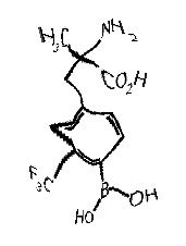 CC(N)(Cc1ccc(B(O)O)c(C(F)(F)F)c1)C(=O)O